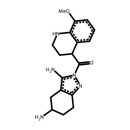 COc1cccc2c1NCCC2C(=O)n1nc2c(c1N)CC(N)CC2